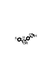 O=C(N[C@@H](CO)c1ccc(F)cc1)c1ccc(C2CNCCO2)cc1